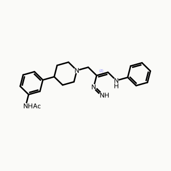 CC(=O)Nc1cccc(C2CCN(C/C(=C/Nc3ccccc3)N=N)CC2)c1